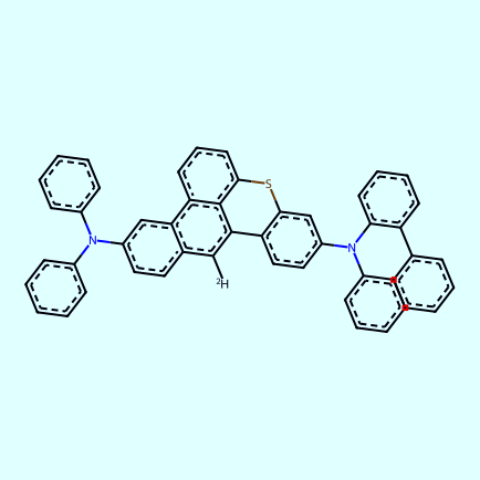 [2H]c1c2c3c(cccc3c3cc(N(c4ccccc4)c4ccccc4)ccc13)Sc1cc(N(c3ccccc3)c3ccccc3-c3ccccc3)ccc1-2